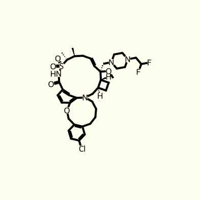 CO[C@]1(CN2CCN(CC(F)F)CC2)/C=C/C[C@H](C)[C@@H](C)S(=O)(=O)NC(=O)c2ccc3c(c2)N(CCCCc2cc(Cl)ccc2CO3)C[C@@H]2CC[C@H]21